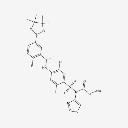 C[C@H](Nc1cc(F)c(S(=O)(=O)N(C(=O)OC(C)(C)C)c2cscn2)cc1Cl)c1cc(B2OC(C)(C)C(C)(C)O2)ccc1F